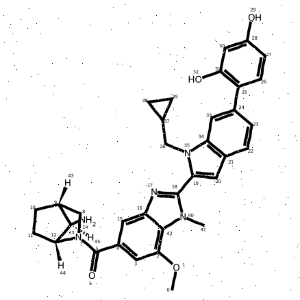 COc1cc(C(=O)N2C[C@H]3CC[C@@H]2[C@@H]3N)cc2nc(-c3cc4ccc(-c5ccc(O)cc5O)cc4n3CC3CC3)n(C)c12